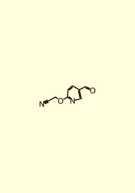 N#CCOc1ccc(C=O)cn1